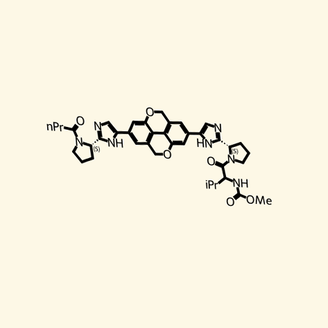 CCCC(=O)N1CCC[C@H]1c1ncc(-c2cc3c4c(c2)OCc2cc(-c5cnc([C@@H]6CCCN6C(=O)C(NC(=O)OC)C(C)C)[nH]5)cc(c2-4)OC3)[nH]1